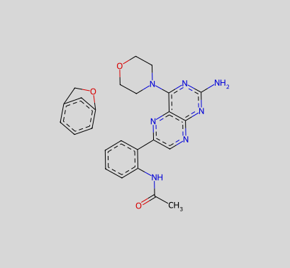 CC(=O)Nc1ccccc1-c1cnc2nc(N)nc(N3CCOCC3)c2n1.c1cc2cc(c1)OC2